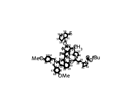 COc1ccc(CN(Cc2ccc(OC)cc2)c2cc3cccc(F)c3c(-c3ncc4c(N(C)[C@@H]5CCN(C(=O)/C=C/[C@@H]6CCN6C(=O)OC(C)(C)C)C5)nc(OC[C@@]56CCCN5C[C@H](F)C6)nc4c3F)n2)cc1